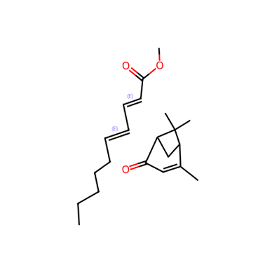 CC1=CC(=O)C2CC1C2(C)C.CCCCC/C=C/C=C/C(=O)OC